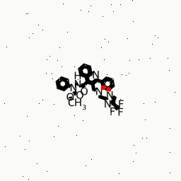 COC(=O)N(NC(=O)c1c(CN2CCn3cc(C(F)(F)F)nc3C2)c(-c2ccccc2)nc2ccccc12)c1ccccc1